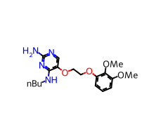 CCCCNc1nc(N)ncc1OCCOc1cccc(OC)c1OC